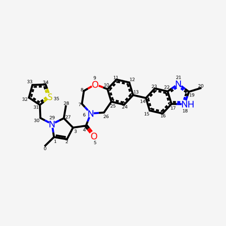 CC1=CC(C(=O)N2CCOc3ccc(-c4ccc5[nH]c(C)nc5c4)cc3C2)C(C)N1Cc1cccs1